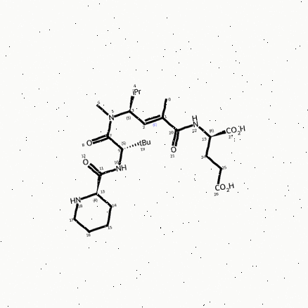 C/C(=C\[C@H](C(C)C)N(C)C(=O)[C@@H](NC(=O)[C@H]1CCCCN1)C(C)(C)C)C(=O)N[C@H](CCC(=O)O)C(=O)O